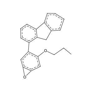 CCCOc1cc2c(cc1-c1cccc3c1Cc1ccccc1-3)O2